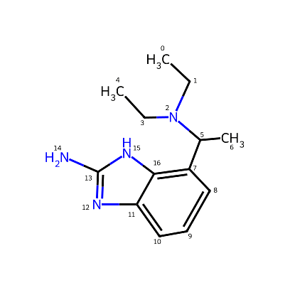 CCN(CC)C(C)c1cccc2nc(N)[nH]c12